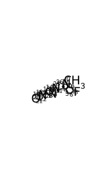 Cn1c2c(c3ccc(F)cc31)CN(c1ccc(N3CCOCC3)cn1)CC2